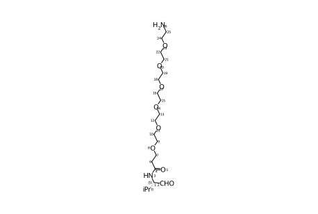 CC(C)[C@@H](C=O)NC(=O)CCOCCOCCOCCOCCOCCOCCN